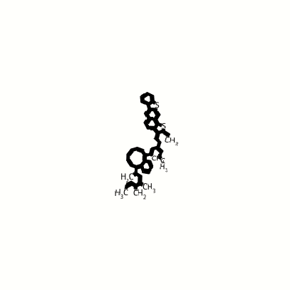 C=C(/C=C\C)/C(C)=C\C(=C)c1ccccccc(/C(C)=C/C(=C\CC)C/C=c2\c(=C/C)sc3c2ccc2cc4c(cc23)sc2ccccc24)c2ccccc12